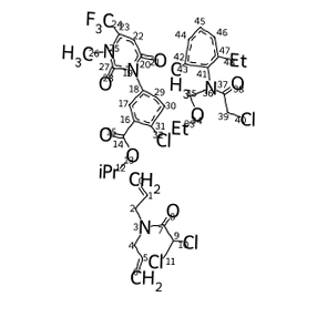 C=CCN(CC=C)C(=O)C(Cl)Cl.CC(C)OC(=O)c1cc(-n2c(=O)cc(C(F)(F)F)n(C)c2=O)ccc1Cl.CCOCN(C(=O)CCl)c1c(C)cccc1CC